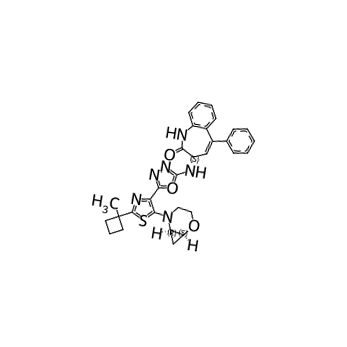 CC1(c2nc(-c3nnc(N[C@H]4C=C(c5ccccc5)c5ccccc5NC4=O)o3)c(N3CCO[C@H]4C[C@H]43)s2)CCC1